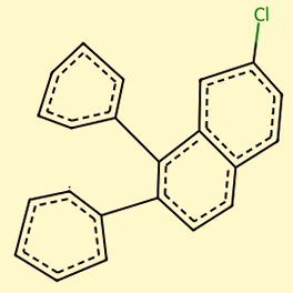 Clc1ccc2ccc(-c3[c]cccc3)c(-c3ccccc3)c2c1